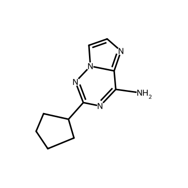 Nc1nc(C2CCCC2)nn2ccnc12